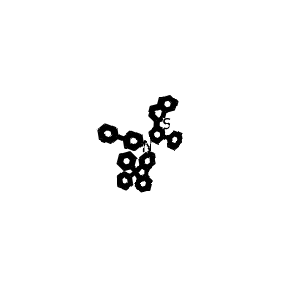 c1ccc(-c2ccc(N(c3ccc4c(c3)C(c3ccccc3)(c3ccccc3)c3ccccc3-4)c3cc(-c4ccccc4)c4sc5c6ccccc6ccc5c4c3)cc2)cc1